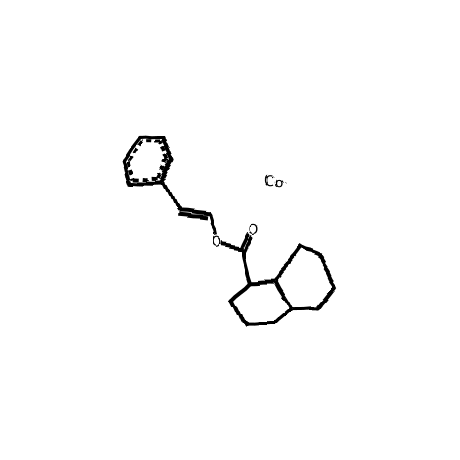 O=C(OC=Cc1ccccc1)C1CCCC2CCCCC21.[Co]